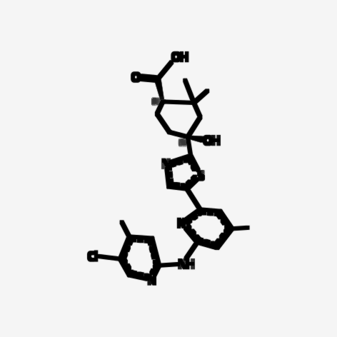 Cc1cc(Nc2cc(C)c(Cl)cn2)nc(-c2cnc([C@]3(O)CC[C@@H](C(=O)O)C(C)(C)C3)s2)c1